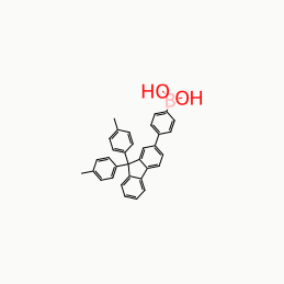 Cc1ccc(C2(c3ccc(C)cc3)c3ccccc3-c3ccc(-c4ccc(B(O)O)cc4)cc32)cc1